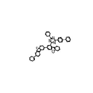 c1ccc(-c2ccc(-c3nc(-c4ccccc4)nc(-c4cc(-c5ccc6sc7cc(-c8ccccc8)ccc7c6c5)cc5oc6ccccc6c45)n3)cc2)cc1